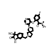 CC(C)N(C)C(=O)c1cc(F)ccc1Oc1cncnc1N1CCC2(CCN(Cc3ccc4c(c3)NC(=O)C4(C)C#N)C2)C1